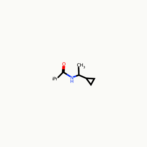 CC(C)C(=O)NC(C)C1CC1